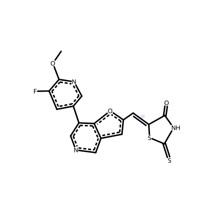 COc1ncc(-c2cncc3cc(/C=C4\SC(=S)NC4=O)oc23)cc1F